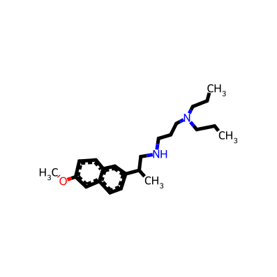 CCCN(CCC)CCCNCC(C)c1ccc2cc(OC)ccc2c1